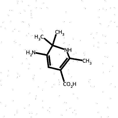 CC1=C(C(=O)O)C=C(N)C(C)(C)N1